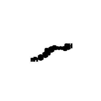 C=CC(O)OCCCCCCOc1ccc(C(=O)Oc2ccc(C3CCC(CCC)CC3)cc2)cc1